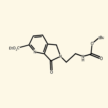 CCOC(=O)c1ccc2c(n1)C(=O)N(CCNC(=O)OC(C)(C)C)C2